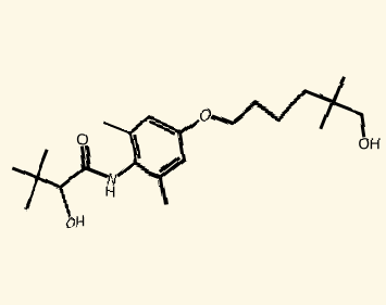 Cc1cc(OCCCCC(C)(C)CO)cc(C)c1NC(=O)C(O)C(C)(C)C